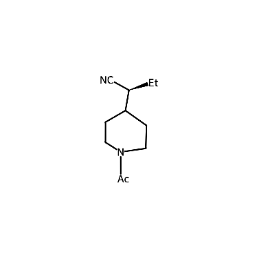 CC[C@H](C#N)C1CCN(C(C)=O)CC1